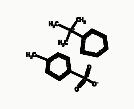 C[N+](C)(C)c1ccccc1.Cc1ccc(S(=O)(=O)[O-])cc1